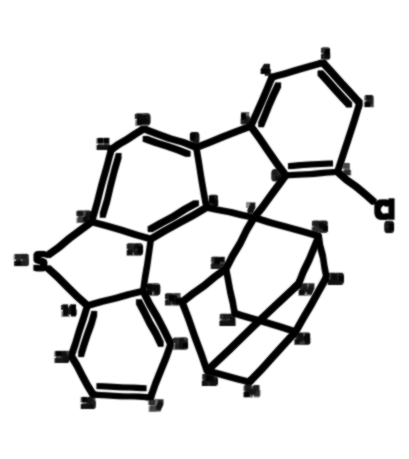 Clc1cccc2c1C1(c3c-2ccc2sc4ccccc4c32)C2CC3CC(C2)CC1C3